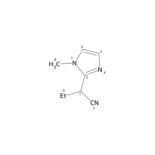 CCC(C#N)c1nccn1C